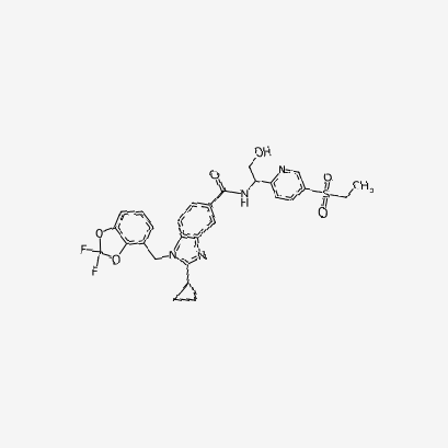 CCS(=O)(=O)c1ccc(C(CO)NC(=O)c2ccc3c(c2)nc(C2CC2)n3Cc2cccc3c2OC(F)(F)O3)nc1